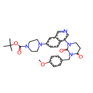 COc1ccc(CN2C(=O)CCN(c3cncc4cc(N5CCN(C(=O)OC(C)(C)C)CC5)ccc34)C2=O)cc1